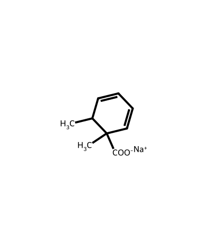 CC1C=CC=CC1(C)C(=O)[O-].[Na+]